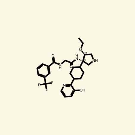 CCO[C@H]1CNC[C@@]1(NC(=O)CNC(=O)c1cccc(C(F)(F)F)c1)C1CCC(c2ncccc2O)CC1